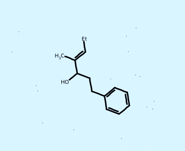 CCC=C(C)C(O)CCc1ccccc1